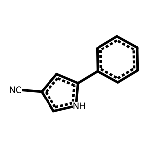 N#Cc1c[nH]c(-c2ccccc2)c1